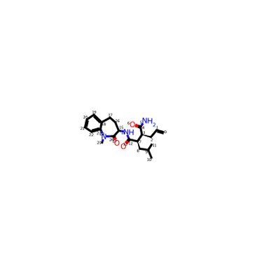 C=CC[C@H](C(N)=O)[C@@H](CC(C)C)C(=O)NC1CCc2ccccc2N(C)C1=O